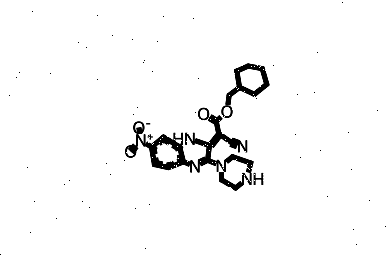 N#C/C(C(=O)OCC1CCCCC1)=C1/Nc2cc([N+](=O)[O-])ccc2N=C1N1CCNCC1